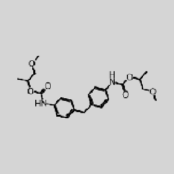 COCC(C)OC(=O)Nc1ccc(Cc2ccc(NC(=O)OC(C)COC)cc2)cc1